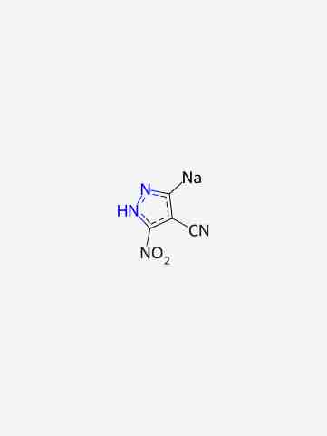 N#Cc1[c]([Na])n[nH]c1[N+](=O)[O-]